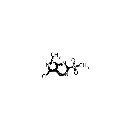 Cn1nc(Cl)c2cnc(S(C)(=O)=O)nc21